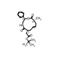 C[C@@H]1C/C=C/C[C@@H](CC(=O)OC(C)(C)C)C(=O)NC[C@@H](c2ccccc2)OC1=O